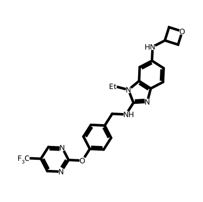 CCn1c(NCc2ccc(Oc3ncc(C(F)(F)F)cn3)cc2)nc2ccc(NC3COC3)cc21